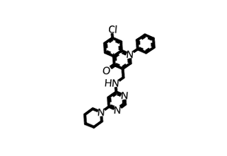 O=c1c(CNc2cc(N3CCCCC3)ncn2)cn(-c2ccccc2)c2cc(Cl)ccc12